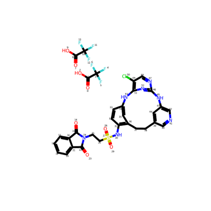 O=C(O)C(F)(F)F.O=C(O)C(F)(F)F.O=C1c2ccccc2C(=O)N1CCS(=O)(=O)Nc1ccc2cc1CCc1cncc(c1)Nc1ncc(Cl)c(n1)N2